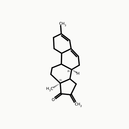 C=C1CC2[C@@H]3CC=C4C=C(C)CCC4C3CC[C@]2(C)C1=O